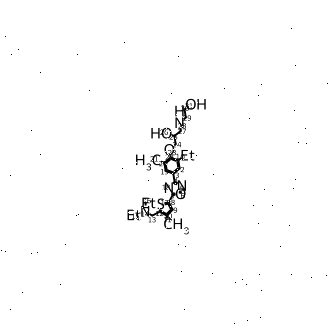 CCc1cc(-c2noc(-c3cc(C)c(CN(CC)CC)s3)n2)cc(C)c1OCC(O)CNCCO